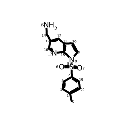 Cc1ccc(S(=O)(=O)n2ccc3cc(CN)cnc32)cc1